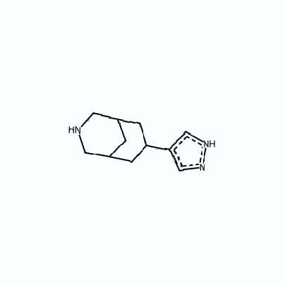 c1n[nH]cc1C1CC2CNCC(C2)C1